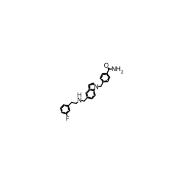 NC(=O)c1ccc(Cn2ccc3cc(CNCCc4cccc(F)c4)ccc32)cc1